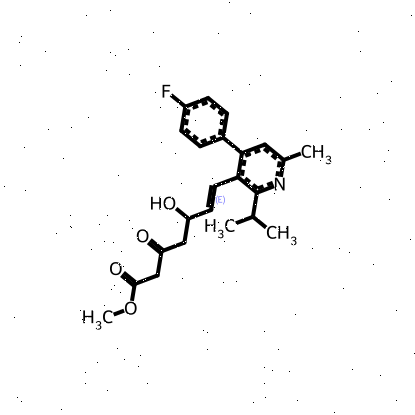 COC(=O)CC(=O)CC(O)/C=C/c1c(-c2ccc(F)cc2)cc(C)nc1C(C)C